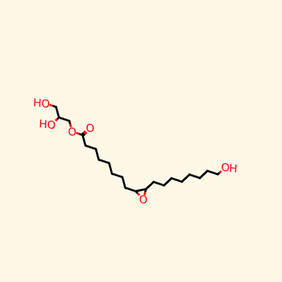 O=C(CCCCCCCC1OC1CCCCCCCCO)OCC(O)CO